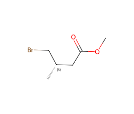 COC(=O)C[C@H](C)CBr